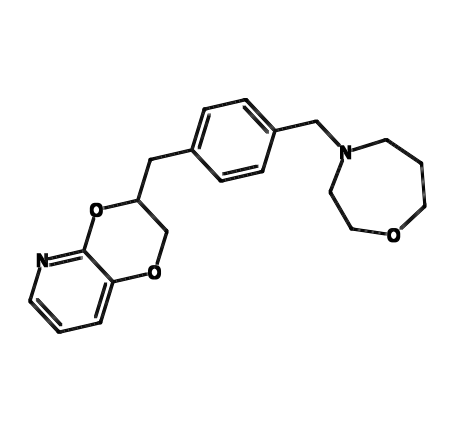 c1cnc2c(c1)OCC(Cc1ccc(CN3CCCOCC3)cc1)O2